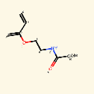 C=CC(=C)OCCNC(=O)OC